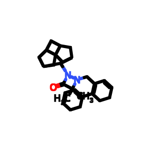 CC1(C)C(=O)N(C2C3CC4CC5CC2CC45C3)N1CC1=C(C2=CC=CCC2)CCC=C1